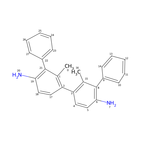 Cc1c(-c2ccc(N)c(-c3ccccc3)c2C)ccc(N)c1-c1ccccc1